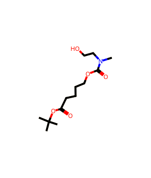 CN(CCO)C(=O)OCCCCC(=O)OC(C)(C)C